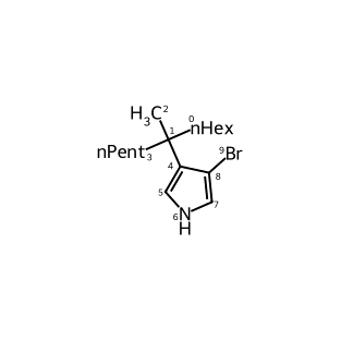 CCCCCCC(C)(CCCCC)c1c[nH]cc1Br